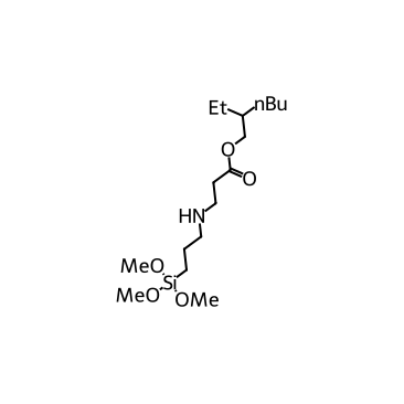 CCCCC(CC)COC(=O)CCNCCC[Si](OC)(OC)OC